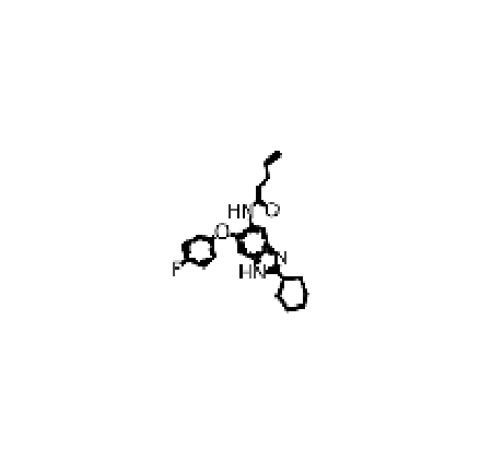 C=CCCC(=O)Nc1cc2nc(C3CCCCC3)[nH]c2cc1Oc1ccc(F)cc1